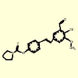 COc1cc(/C=C/c2ccc(OC(=O)N3CCCC3)cc2)cc(C=O)c1O